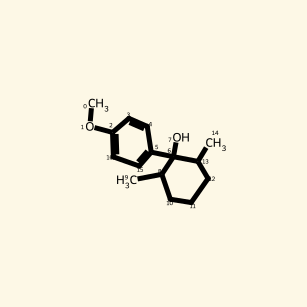 COc1ccc(C2(O)C(C)CCCC2C)cc1